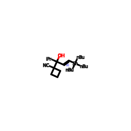 CCC[CH2][Sn](/[CH]=C/C(O)(C(C)C)C1(C#N)CCC1)([CH2]CCC)[CH2]CCC